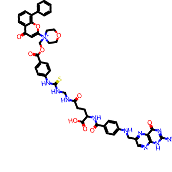 Nc1nc(=O)c2nc(CNc3ccc(C(=O)NC(CCC(=O)NCNC(=S)Nc4ccc(C(=O)OC[N+]5(c6cc(=O)c7cccc(-c8ccccc8)c7o6)CCOCC5)cc4)C(=O)O)cc3)cnc2[nH]1